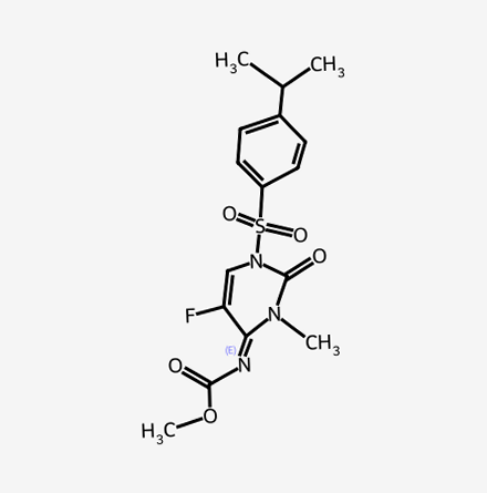 COC(=O)/N=c1\c(F)cn(S(=O)(=O)c2ccc(C(C)C)cc2)c(=O)n1C